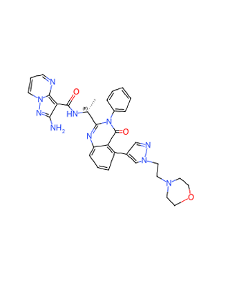 C[C@@H](NC(=O)c1c(N)nn2cccnc12)c1nc2cccc(-c3cnn(CCN4CCOCC4)c3)c2c(=O)n1-c1ccccc1